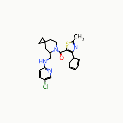 Cc1nc(C2C=CC=CC2)c(C(=O)N2CCC3(CC3)CC2CNc2ccc(Cl)cn2)s1